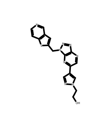 OCCn1cc(-c2cnc3nnn(Cc4cc5cnccc5s4)c3n2)cn1